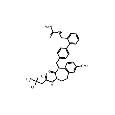 CNC(=O)NCc1ccccc1-c1ccc(CN2C(=O)[C@H](NC(=O)CC(C)(C)N)CCc3cc(OC)ccc32)cc1